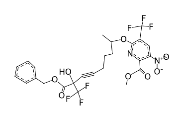 COC(=O)c1nc(OC(C)CCCC#CC(O)(C(=O)OCc2ccccc2)C(F)(F)F)c(C(F)(F)F)cc1[N+](=O)[O-]